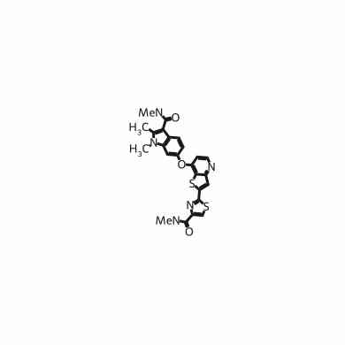 CNC(=O)c1csc(-c2cc3nccc(Oc4ccc5c(C(=O)NC)c(C)n(C)c5c4)c3s2)n1